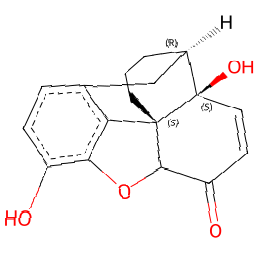 O=C1C=C[C@@]2(O)[C@@H]3CCC[C@@]24c2c(ccc(O)c2OC14)C3